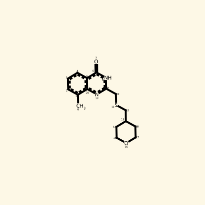 Cc1cccc2c(=O)[nH]c(CSCC3CCOCC3)nc12